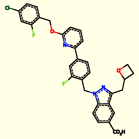 O=C(O)c1ccc2c(c1)c(CC1CCO1)nn2Cc1ccc(-c2cccc(OCc3ccc(Cl)cc3F)n2)cc1F